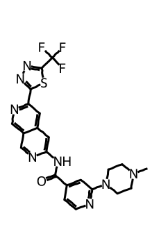 CN1CCN(c2cc(C(=O)Nc3cc4cc(-c5nnc(C(F)(F)F)s5)ncc4cn3)ccn2)CC1